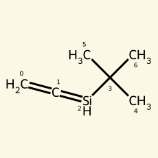 C=C=[SiH]C(C)(C)C